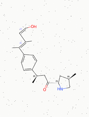 CC(/C=C\O)=C(/C)c1ccc([C@H](C)CC(=O)[C@@H]2C[C@@H](C)CN2)cc1